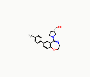 OC[C@H]1CCN(C2=NCCOc3ccc(-c4ccc(C(F)(F)F)cc4)cc32)C1